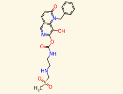 CS(=O)(=O)CNCCNC(=O)Oc1ncc2ccc(=O)n(Cc3ccccc3)c2c1O